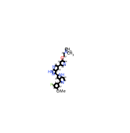 COc1cc(F)cc(-c2nccc3[nH]c(-c4n[nH]c5ncc(-c6cncc(OCCN(C)C)c6)cc45)cc23)c1